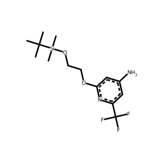 CC(C)(C)[Si](C)(C)OCCOc1cc(N)cc(C(F)(F)F)n1